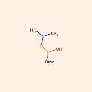 COP(O)ON(C)C